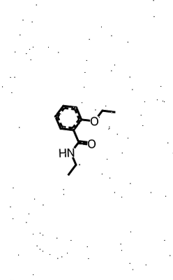 C[CH]NC(=O)c1ccccc1OCC